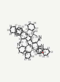 Cc1ccccc1-c1c2/c(=C(\C#N)c3cnc4ccccc4n3)n(B(c3ccccc3)c3ccccc3)c(C(C)C)c2/c(=C(\C#N)c2cnc3ccccc3n2)n1B(c1ccccc1)c1ccccc1